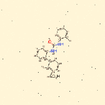 Cc1ccccc1NC(=O)Nc1ccccc1-c1cccc(S(=O)(=O)O)c1C